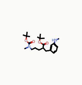 CNc1cccc(CC(CCCN(C)C(=O)OC(C)(C)C)C(=O)OC(C)(C)C)c1